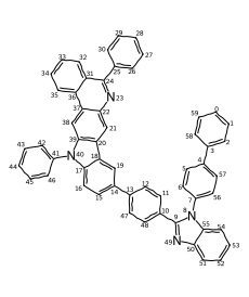 c1ccc(-c2ccc(-n3c(-c4ccc(-c5ccc6c(c5)c5cc7nc(-c8ccccc8)c8ccccc8c7cc5n6-c5ccccc5)cc4)nc4ccccc43)cc2)cc1